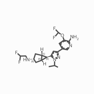 CC(C)n1nc(-c2cnc(N)c(OC(F)F)c2)cc1[C@H]1[C@@H]2C[C@H](NCC(F)F)C[C@@H]21